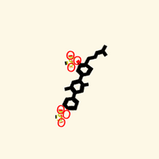 CC(C)=CCCc1ccc(-c2cc(C)c(-c3ccc(OS(C)(=O)=O)cc3)cc2C)cc1OS(C)(=O)=O